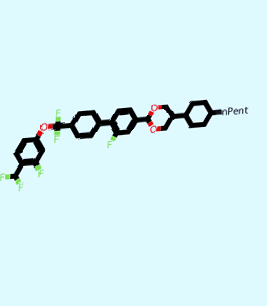 CCCCCC1CCC(C2COC(c3ccc(C4CCC(C(F)(F)Oc5ccc(C(F)F)c(F)c5)CC4)c(F)c3)OC2)CC1